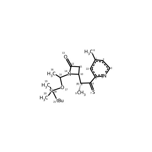 Cc1ccnc(C(=S)[C@H](C)C2CC(=O)N2C(C)O[Si](C)(C)C(C)(C)C)c1